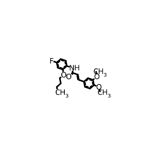 CCCCOc1cc(F)ccc1NC(=O)/C=C/c1ccc(OC)c(OC)c1